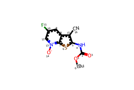 CC(C)(C)OC(=O)Nc1sc2c(cc(F)c[n+]2[O-])c1C#N